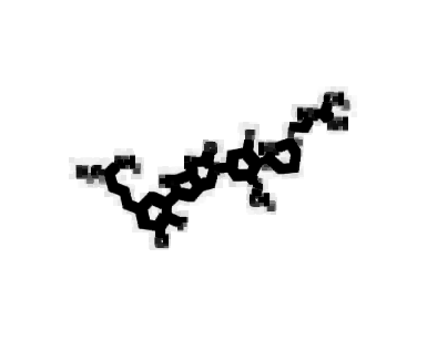 CSc1cc(-n2cc3cc(-c4cc(CCC[C@H](C)N)cc(Cl)c4F)[nH]c3nc2=O)cc(F)c1[C@@H]1CCC[C@@H](CCNC(C)=N)N1